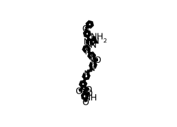 Nc1ncnc2c1c(-c1ccc(Oc3ccccc3)cc1)nn2[C@@H]1CCCN(C2CCN(C(=O)N3CCN(CCN4CCC(c5ccc6c(c5)C(=O)N(C5CCC(=O)NC5=O)C6=O)CC4)CC3)CC2)C1